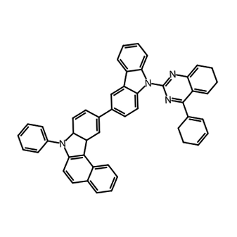 C1=CCCC(c2nc(-n3c4ccccc4c4cc(C5=CC6c7c(ccc8ccccc78)N(c7ccccc7)C6C=C5)ccc43)nc3c2=CCCC=3)=C1